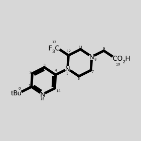 CC(C)(C)c1ccc(N2CCN(CC(=O)O)CC2C(F)(F)F)cn1